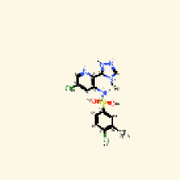 CC(C)n1cnnc1-c1ncc(Cl)cc1NS(=O)(=O)c1ccc(Cl)c(C(F)(F)F)c1